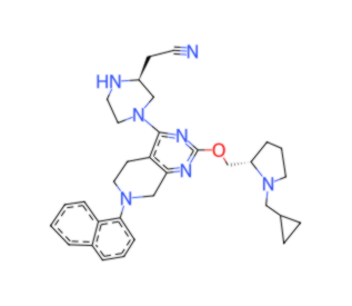 N#CC[C@H]1CN(c2nc(OC[C@@H]3CCCN3CC3CC3)nc3c2CCN(c2cccc4ccccc24)C3)CCN1